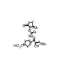 CC(C)(C)/C=C(\C#N)C(=O)N1CCN(C(=O)O)C[C@@H]1COC(=O)ON1C(=O)CCC1=O